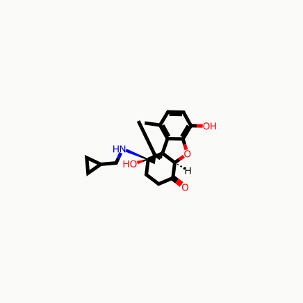 Cc1ccc(O)c2c1[C@]13CC(C)[C@@H](NCC4CC4)[C@]1(O)CCC(=O)[C@@H]3O2